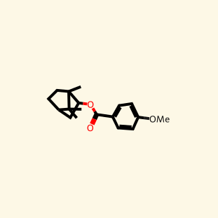 COc1ccc(C(=O)OC2CC3CCC2(C)C3(C)C)cc1